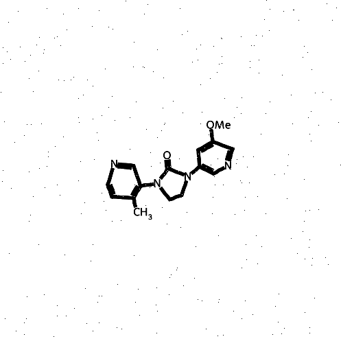 COc1cncc(N2CCN(c3cnccc3C)C2=O)c1